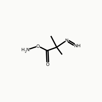 CC(C)(N=N)C(=O)ON